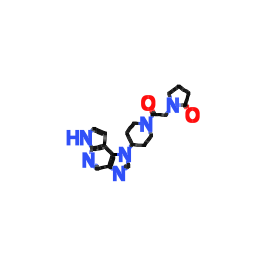 O=C(CN1CCCC1=O)N1CCC(n2cnc3cnc4[nH]ccc4c32)CC1